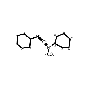 O=C(O)[N+](=C=NC1CCCCC1)C1CCCCC1